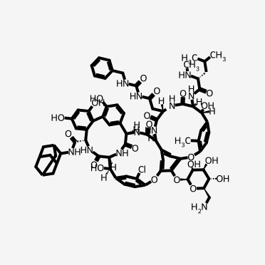 CN[C@H](CC(C)C)C(=O)N[C@H]1C(=O)N[C@@H](CC(=O)NC(=O)NCc2ccccc2)C(=O)N[C@H]2C(=O)N[C@H]3C(=O)N[C@H](C(=O)N[C@H](C(=O)NC4C5CC6CC(C5)CC4C6)c4cc(O)cc(O)c4-c4cc3ccc4O)[C@H](O)c3ccc(c(Cl)c3)Oc3cc2cc(c3O[C@@H]2O[C@H](CN)[C@@H](O)[C@H](O)[C@H]2O)Oc2ccc(cc2C)[C@H]1O